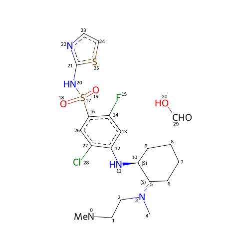 CNCCN(C)[C@H]1CCCC[C@@H]1Nc1cc(F)c(S(=O)(=O)Nc2nccs2)cc1Cl.O=CO